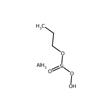 CCCO[Si](=O)OO.[AlH3]